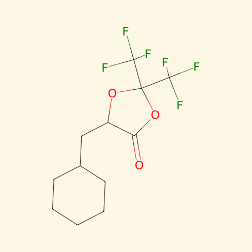 O=C1OC(C(F)(F)F)(C(F)(F)F)OC1CC1CCCCC1